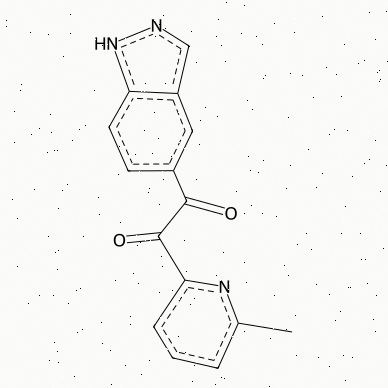 Cc1cccc(C(=O)C(=O)c2ccc3[nH]ncc3c2)n1